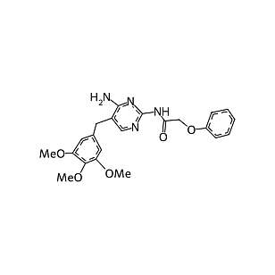 COc1cc(Cc2cnc(NC(=O)COc3ccccc3)nc2N)cc(OC)c1OC